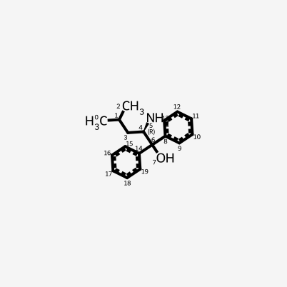 CC(C)C[C@@H](N)C(O)(c1ccccc1)c1ccccc1